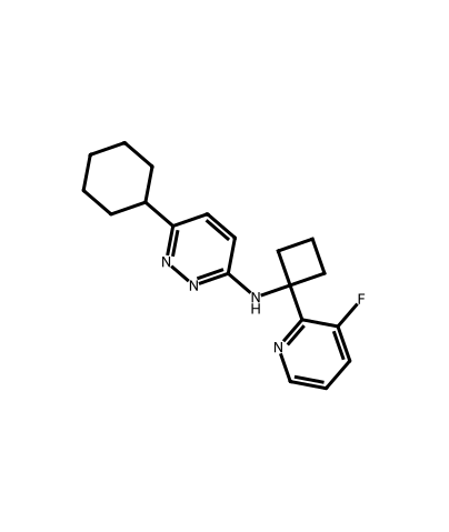 Fc1cccnc1C1(Nc2ccc(C3CCCCC3)nn2)CCC1